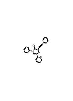 O=c1c(C#Cc2ccccc2)cc(-c2ccccn2)cn1-c1ccccc1